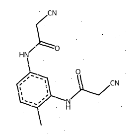 Cc1ccc(NC(=O)CC#N)cc1NC(=O)CC#N